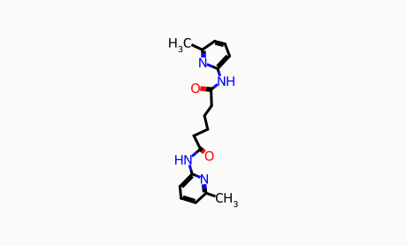 Cc1cccc(NC(=O)CCCCC(=O)Nc2cccc(C)n2)n1